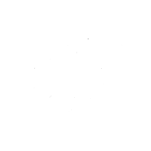 O=C1CCc2ccccc2C(I)c2ccccc21